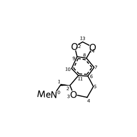 CNC[C@@H]1OCCc2cc3c(cc21)OCO3